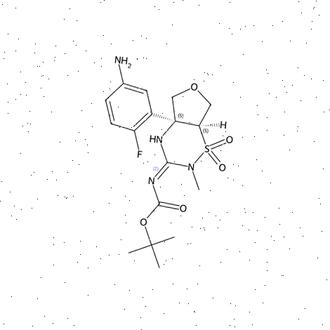 CN1/C(=N\C(=O)OC(C)(C)C)N[C@@]2(c3cc(N)ccc3F)COC[C@H]2S1(=O)=O